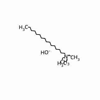 CCCCCCCCCCCCCCCC[N+](CC)(CC)CC.[OH-]